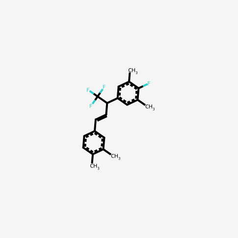 Cc1ccc(/C=C/C(c2cc(C)c(F)c(C)c2)C(F)(F)F)cc1C